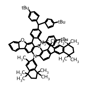 Cc1cc2c(cc1N1c3ccc4c(c3B3c5c1cc1c(oc6ccccc61)c5-c1ccc(C(c5ccc(C(C)(C)C)cc5)c5ccc(C(C)(C)C)cc5)cc1N3c1ccc(C(C)(C)C)cc1)C(C)(C)c1cc3c(cc1-4)C(C)(C)CCC3(C)C)C(C)(C)CCC2(C)C